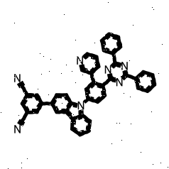 N#Cc1cc(C#N)cc(-c2ccc3c(c2)c2ccccc2n3-c2ccc(-c3nc(-c4ccccc4)nc(-c4ccccc4)n3)c(-c3cccnc3)c2)c1